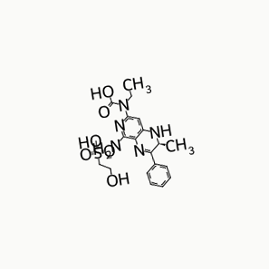 CCN(C(=O)O)c1cc2c(c(N)n1)N=C(c1ccccc1)[C@H](C)N2.O=S(=O)(O)CCO